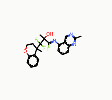 Cc1ncc2c(N=C(F)C(C)(O)C(F)(F)C3(C)CCOc4ccccc43)cccc2n1